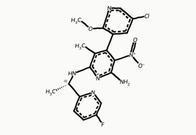 COc1ncc(Cl)cc1-c1c(C)c(N[C@@H](C)c2ccc(F)cn2)nc(N)c1[N+](=O)[O-]